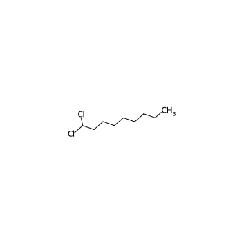 CCCCCCCCC(Cl)Cl